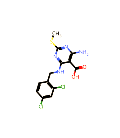 CSc1nc(N)c(C(=O)O)c(NCc2ccc(Cl)cc2Cl)n1